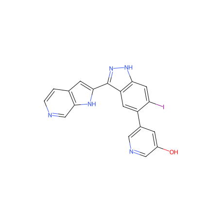 Oc1cncc(-c2cc3c(-c4cc5ccncc5[nH]4)n[nH]c3cc2I)c1